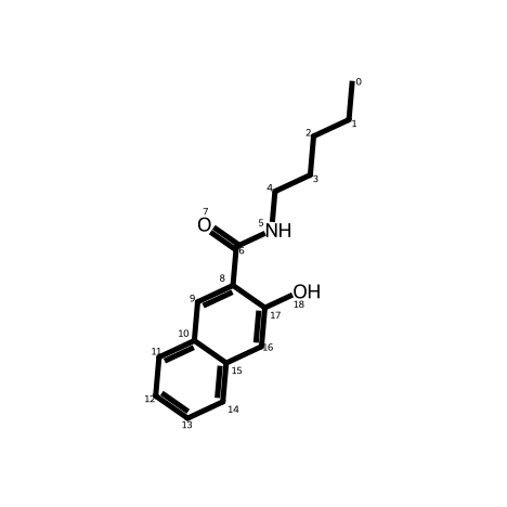 CCCCCNC(=O)c1cc2ccccc2cc1O